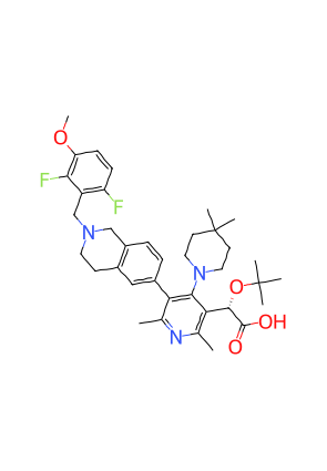 COc1ccc(F)c(CN2CCc3cc(-c4c(C)nc(C)c([C@H](OC(C)(C)C)C(=O)O)c4N4CCC(C)(C)CC4)ccc3C2)c1F